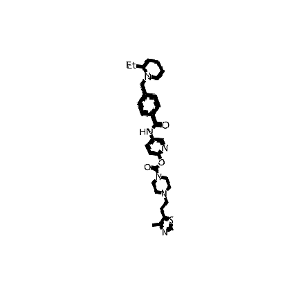 CCC1CCCCN1Cc1ccc(C(=O)Nc2ccc(OC(=O)N3CCN(CCc4scnc4C)CC3)nc2)cc1